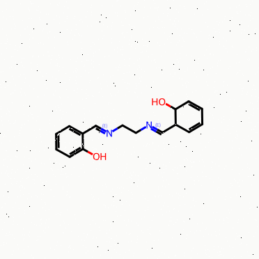 Oc1ccccc1/C=N/CC/N=C/C1C=CC=CC1O